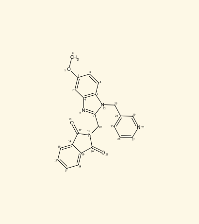 COc1ccc2c(c1)nc(CN1C(=O)c3ccccc3C1=O)n2Cc1cccnc1